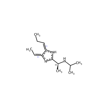 C/C=c1/nc([C@H](C)NC(C)C)[nH]/c1=C/CC